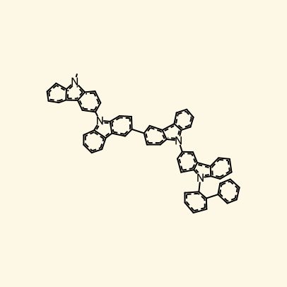 Cn1c2ccccc2c2cc(-n3c4ccccc4c4cc(-c5ccc6c(c5)c5ccccc5n6-c5ccc6c(c5)c5ccccc5n6-c5ccccc5-c5ccccc5)ccc43)ccc21